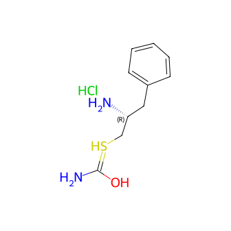 Cl.NC(O)=[SH]C[C@H](N)Cc1ccccc1